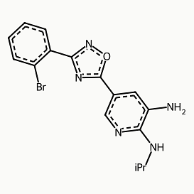 CC(C)Nc1ncc(-c2nc(-c3ccccc3Br)no2)cc1N